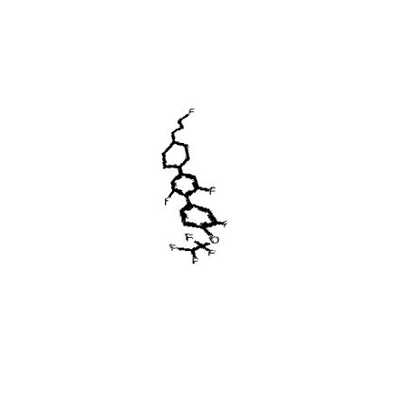 FCCCC1CCC(c2cc(F)c(-c3ccc(OC(F)(F)C(F)F)c(F)c3)c(F)c2)CC1